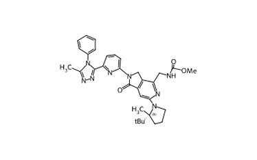 COC(=O)NCc1nc(N2CCC[C@]2(C)C(C)(C)C)cc2c1CN(c1cccc(-c3nnc(C)n3-c3ccccc3)n1)C2=O